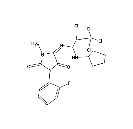 CN1C(=O)N(c2ccccc2F)C(=O)C1=NC(NC1CCCC1)C(Cl)C(Cl)(Cl)Cl